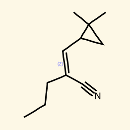 CCC/C(C#N)=C/C1CC1(C)C